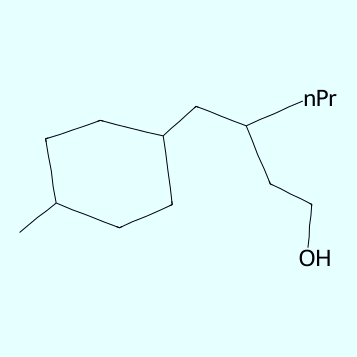 CCCC(CCO)CC1CCC(C)CC1